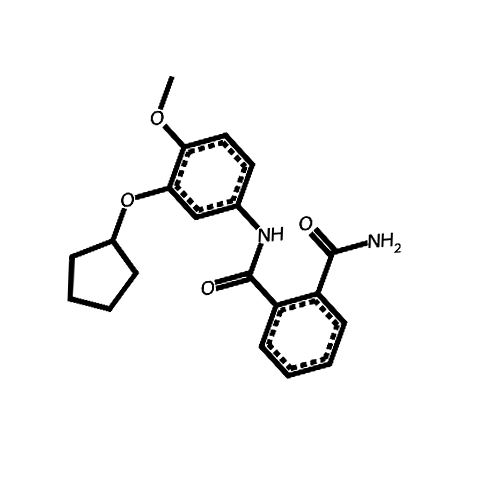 COc1ccc(NC(=O)c2ccccc2C(N)=O)cc1OC1CCCC1